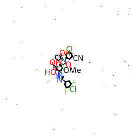 CO[C@@H]1[C@@H](n2cc(-c3cc(F)c(Cl)c(F)c3)nn2)[C@@H](O)[C@@H](CO)O[C@H]1C(=O)N(c1cc(Cl)cc(C#N)c1)[C@@H]1CCC[C@H]1O